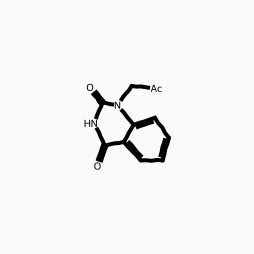 CC(=O)Cn1c(=O)[nH]c(=O)c2ccccc21